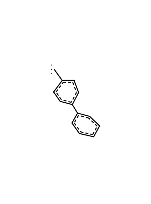 [C]c1ccc(-c2ccccc2)cc1